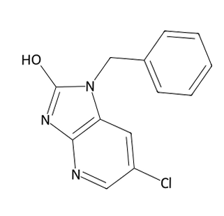 Oc1nc2ncc(Cl)cc2n1Cc1ccccc1